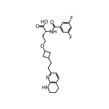 O=C(N[C@@H](CCOC1CC(CCc2ccc3c(n2)NCCC3)C1)C(=O)O)c1cc(F)cc(F)c1